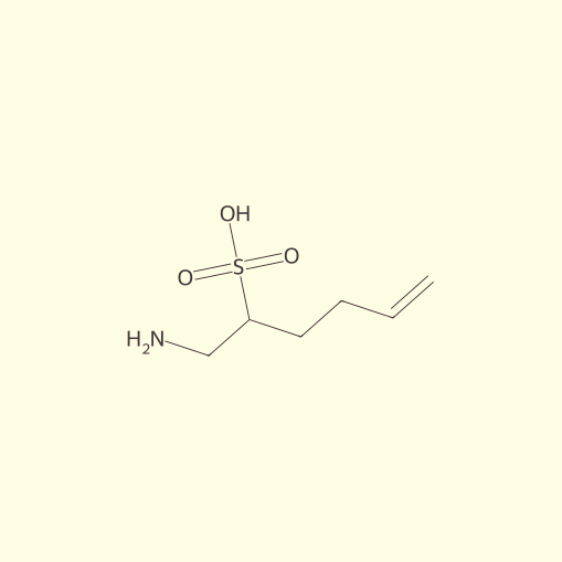 C=CCCC(CN)S(=O)(=O)O